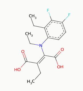 CCC(C(=O)O)=C(C(=O)O)N(CC)c1ccc(F)c(F)c1CC